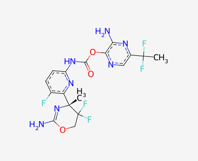 CC(F)(F)c1cnc(OC(=O)Nc2ccc(F)c([C@@]3(C)N=C(N)OCC3(F)F)n2)c(N)n1